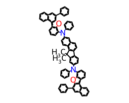 CC1(C)c2cc(N(c3ccccc3)c3cccc4c3oc3c(-c5ccccc5)cc5ccccc5c34)ccc2-c2ccc3cc(N(c4ccccc4)c4cccc5c4oc4c(-c6ccccc6)cc6ccccc6c45)ccc3c21